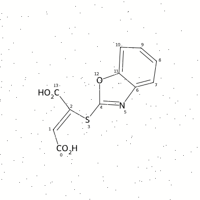 O=C(O)/C=C(\Sc1nc2ccccc2o1)C(=O)O